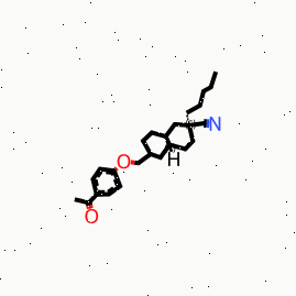 CCCCC[C@]1(C#N)CC[C@@H]2CC(COc3ccc(C(C)=O)cc3)CCC2C1